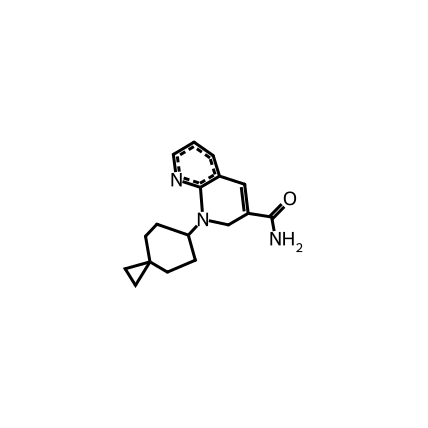 NC(=O)C1=Cc2cccnc2N(C2CCC3(CC2)CC3)C1